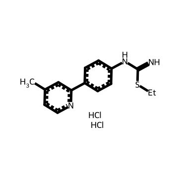 CCSC(=N)Nc1ccc(-c2cc(C)ccn2)cc1.Cl.Cl